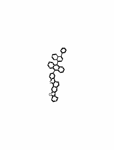 C1=CC2C(c3ccccc3)=CC=C(c3c4ccccc4c(-c4ccc5sc6c7cc8oc9ccccc9c8cc7ccc6c5c4)c4ccccc34)C2C=C1